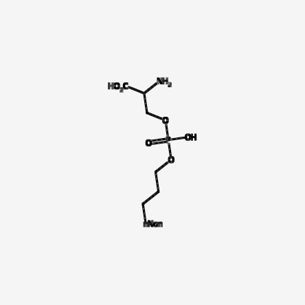 CCCCCCCCCCCCOP(=O)(O)OCC(N)C(=O)O